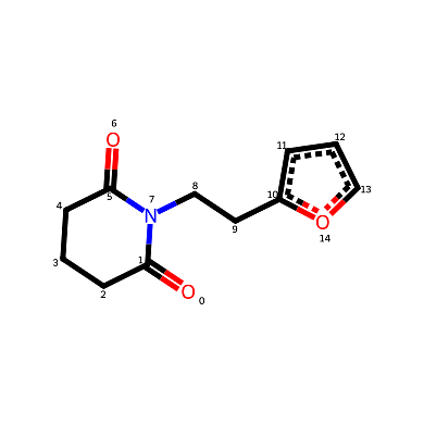 O=C1CCCC(=O)N1CCc1ccco1